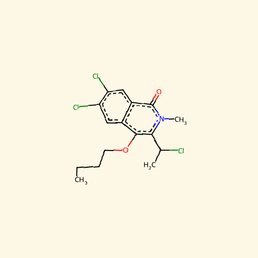 CCCCOc1c(C(C)Cl)n(C)c(=O)c2cc(Cl)c(Cl)cc12